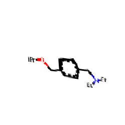 CCN(CC)Cc1ccc(COC(C)C)cc1